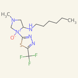 CCCCCCNC1CN(C)C[N+]1([O-])c1nnc(C(F)(F)F)s1